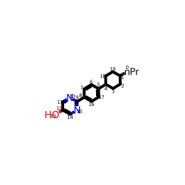 CCCC1CCC(c2ccc(-c3ncc(O)cn3)cc2)CC1